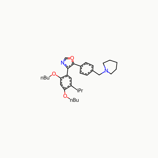 CCCCOc1cc(OCCCC)c(C(C)C)cc1-c1ncoc1-c1ccc(CN2CCCCC2)cc1